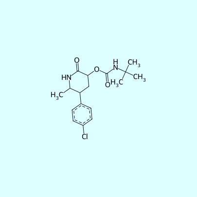 CC1NC(=O)C(OC(=O)NC(C)(C)C)CC1c1ccc(Cl)cc1